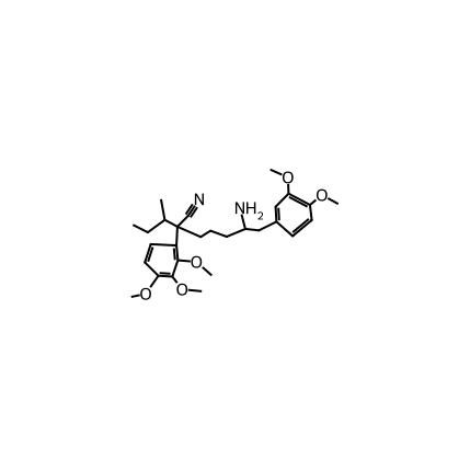 CCC(C)C(C#N)(CCCC(N)Cc1ccc(OC)c(OC)c1)c1ccc(OC)c(OC)c1OC